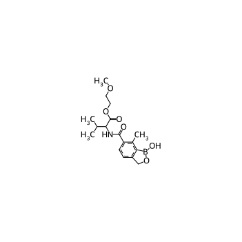 COCCOC(=O)C(NC(=O)c1ccc2c(c1C)B(O)OC2)C(C)C